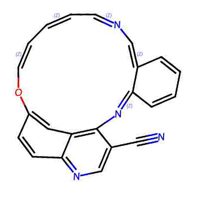 N#Cc1cnc2ccc3cc2c1/N=c1/cccc/c1=C/N=C\C=C/C=C\O3